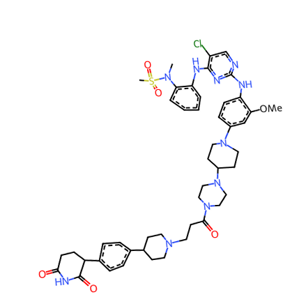 COc1cc(N2CCC(N3CCN(C(=O)CCN4CCC(c5ccc(C6CCC(=O)NC6=O)cc5)CC4)CC3)CC2)ccc1Nc1ncc(Cl)c(Nc2ccccc2N(C)S(C)(=O)=O)n1